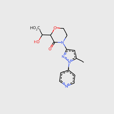 Cc1cc(N2CCOC(C(O)C(=O)O)C2=O)nn1-c1ccncc1